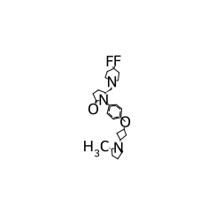 C[C@H]1CCCN1[C@H]1C[C@H](Oc2ccc(N3C(=O)CC[C@H]3CN3CCC(F)(F)CC3)cc2)C1